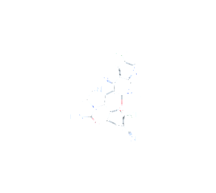 N#Cc1ccc(C2c3c(C(N)=O)c(-c4cnc(F)c(Cl)c4)nn3CCN2C(N)=O)cc1Cl